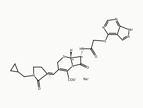 O=C(CSc1ncnc2[nH]ncc12)N[C@@H]1C(=O)N2C(C(=O)[O-])=C(/C=C3\CCN(CC4CC4)C3=O)CS[C@H]12.[Na+]